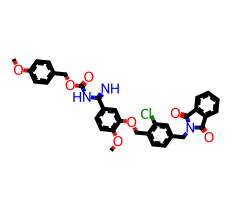 COc1ccc(COC(=O)NC(=N)c2ccc(OC)c(OCc3ccc(CN4C(=O)c5ccccc5C4=O)cc3Cl)c2)cc1